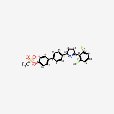 O=S(=O)(Oc1ccc(-c2ccc(C3CCC(c4c(F)cccc4F)=N3)cc2)cc1)C(F)(F)F